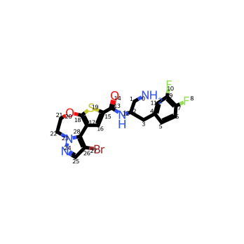 NCC(Cc1ccc(F)c(F)c1)NC(=O)c1cc2c(s1)OCCn1ncc(Br)c1-2